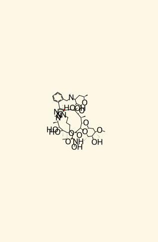 CC[C@H]1OC(=O)[C@H](C)[C@@H](O[C@H]2C[C@@](C)(OC)[C@@H](O)[C@H](C)O2)[C@H](C)[C@@H](O[C@@H]2O[C@H](C)C[C@H](N(C)Cc3ccccc3-c3cn(CCCCCC(=O)NO)nn3)[C@@H]2O)[C@](C)(O)C[C@@H](C)CN(C)[C@H](C)[C@@H](O)[C@]1(C)O